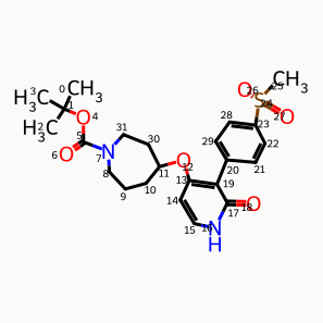 CC(C)(C)OC(=O)N1CCCC(Oc2cc[nH]c(=O)c2-c2ccc(S(C)(=O)=O)cc2)CC1